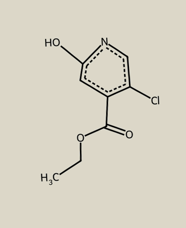 CCOC(=O)c1cc(O)ncc1Cl